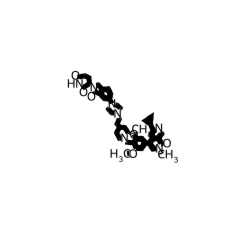 COc1cc(-c2cn(C)c(=O)c3cnc(C4CC4)cc23)cc(OC)c1CN1CCC(CCN2CCN(c3ccc4c(c3)C(=O)N(C3CCC(=O)NC3=O)C4)CC2)CC1